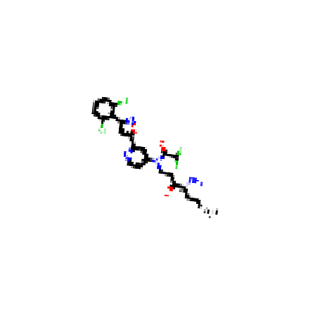 N[C@H](CCC(=O)O)C(=O)CCN(C(=O)C(Cl)Cl)c1ccnc(-c2cc(-c3c(Cl)cccc3Cl)no2)c1